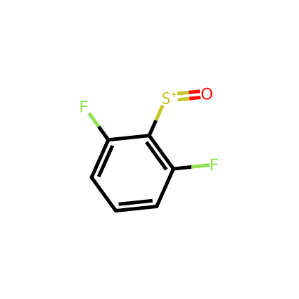 O=[S+]c1c(F)cccc1F